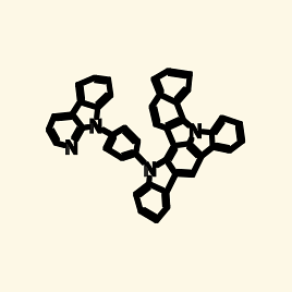 c1ccc2c(c1)ccc1c3c4c(cc5c6ccccc6n(c21)c53)c1ccccc1n4-c1ccc(-n2c3ccccc3c3cccnc32)cc1